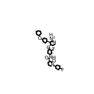 Nc1nccc(Oc2ccc(NC(=O)c3cccn(-c4ccc(F)cc4)c3=O)cc2F)c1-c1ccc(Oc2ccccc2)cc1